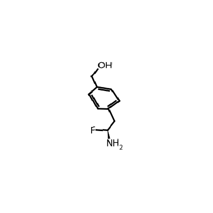 N[C@@H](F)Cc1ccc(CO)cc1